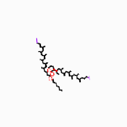 CCCCCCCOC(CCCC(C)CC(C)CC(C)CC(C)CC(C)CC(C)CCCI)OC(CCCC(C)CC(C)CC(C)CC(C)CC(C)CC(C)CCCI)OCCCCCCC